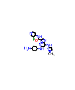 Cn1ccc(Nc2cc(NC3CCC(N)CC3)nn3c(C(=O)Nc4ccncc4F)cnc23)n1